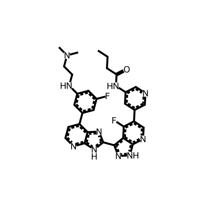 CCCC(=O)Nc1cncc(-c2cnc3[nH]nc(-c4nc5c(-c6cc(F)cc(NCCN(C)C)c6)ccnc5[nH]4)c3c2F)c1